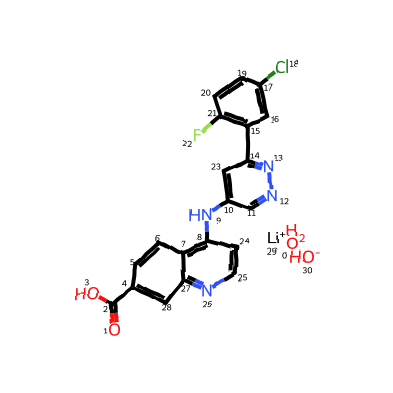 O.O=C(O)c1ccc2c(Nc3cnnc(-c4cc(Cl)ccc4F)c3)ccnc2c1.[Li+].[OH-]